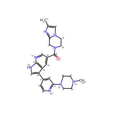 Cc1cn2c(n1)CN(C(=O)c1cnc3[nH]cc(-c4ccnc(N5CCN(C)CC5)c4)c3c1)CC2